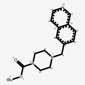 CC(C)(C)OC(=O)N1CCN(Cc2ccc3cnccc3c2)CC1